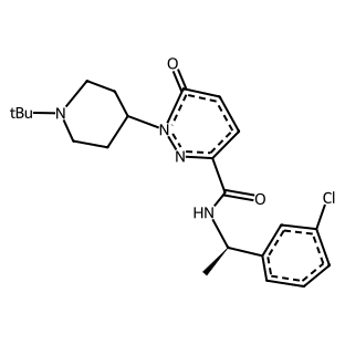 C[C@@H](NC(=O)c1ccc(=O)n(C2CCN(C(C)(C)C)CC2)n1)c1cccc(Cl)c1